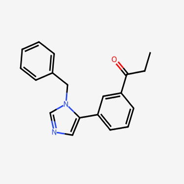 CCC(=O)c1cccc(-c2cncn2Cc2ccccc2)c1